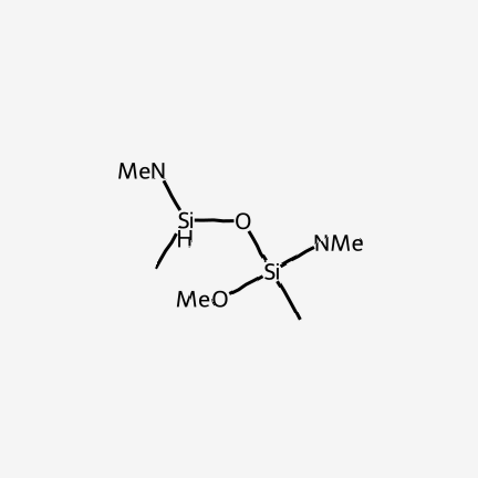 CN[SiH](C)O[Si](C)(NC)OC